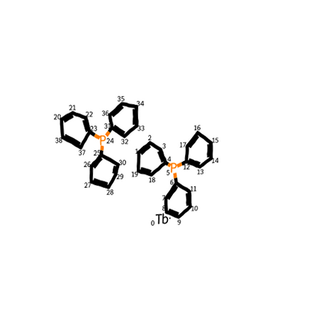 [Tb].c1ccc(P(c2ccccc2)c2ccccc2)cc1.c1ccc(P(c2ccccc2)c2ccccc2)cc1